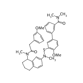 COc1cccc(CC(=O)N(C)C2CCCc3ccc(N(C)Sc4cc(-c5cccc(C(=O)N(C)C)c5)ccc4OC)cc32)c1